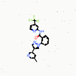 Cc1cncc(-c2cnn(-c3ccccc3C(=O)Nc3cc(C(F)(F)F)ccn3)c2)c1